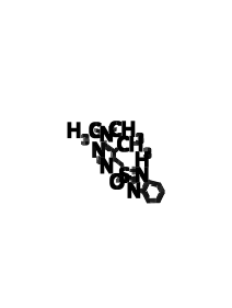 Cc1c(C[S+]([O-])c2nc3ccccc3[nH]2)ncnc1N(C)C